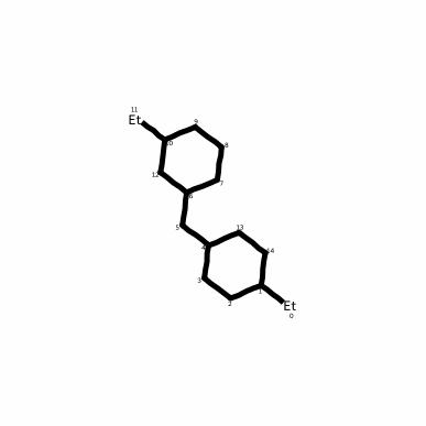 CCC1CC[C](CC2CCCC(CC)C2)CC1